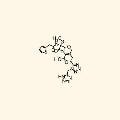 CO[C@@]1(NC(=O)Cc2cccs2)C(=O)N2C(C(=O)O)=C(CSc3nnnn3Cc3nnn[nH]3)COC21